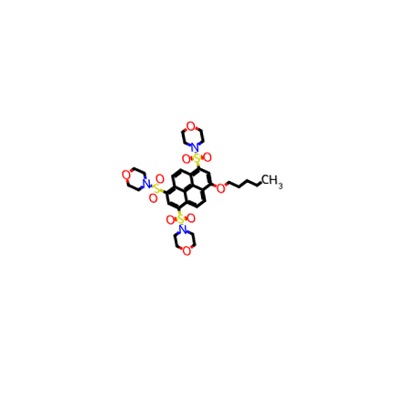 CCCCCOc1cc(S(=O)(=O)N2CCOCC2)c2ccc3c(S(=O)(=O)N4CCOCC4)cc(S(=O)(=O)N4CCOCC4)c4ccc1c2c43